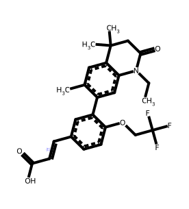 CCN1C(=O)CC(C)(C)c2cc(C)c(-c3cc(/C=C/C(=O)O)ccc3OCC(F)(F)F)cc21